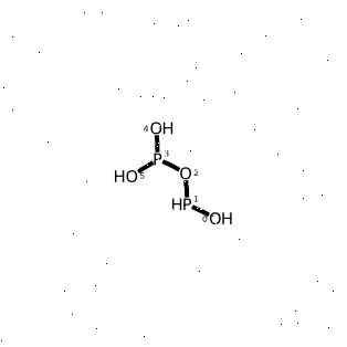 OPOP(O)O